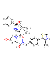 Cc1ncsc1-c1ccc(CNC(=O)[C@@H]2C[C@@H](O)CN2C(=O)C(NC(=O)c2ccccc2)C(C)(C)C)cc1